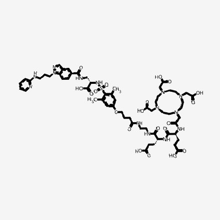 Cc1cc(OCCCC(=O)NCCNC(=O)[C@@H](CCC(=O)O)NC(=O)[C@H](CCC(=O)O)NC(=O)CN2CCN(CC(=O)O)CCN(CC(=O)O)CCN(CC(=O)O)CC2)cc(C)c1S(=O)(=O)N[C@@H](CNC(=O)c1ccc2c(cnn2CCCNc2ccccn2)c1)C(=O)O